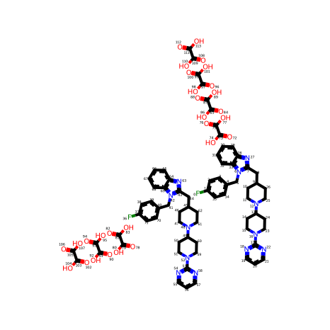 Fc1ccc(Cn2c(CC3CCN(C4CCN(c5ncccn5)CC4)CC3)nc3ccccc32)cc1.Fc1ccc(Cn2c(CC3CCN(C4CCN(c5ncccn5)CC4)CC3)nc3ccccc32)cc1.O=C(O)C(=O)O.O=C(O)C(=O)O.O=C(O)C(=O)O.O=C(O)C(=O)O.O=C(O)C(=O)O.O=C(O)C(=O)O.O=C(O)C(=O)O